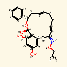 CCON=C1/C=C/CC/C=C/C[C@@H](c2ccccc2)OC(=O)c2c(O)cc(O)cc2C1